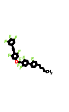 CCCCCc1ccc(-c2cc(F)c(C(F)(F)Oc3cc(F)c(C#Cc4cc(F)c(F)c(F)c4)c(F)c3)c(F)c2)c(F)c1